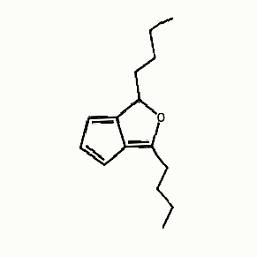 CCCC[C]1OC(CCCC)=C2C=CC=C12